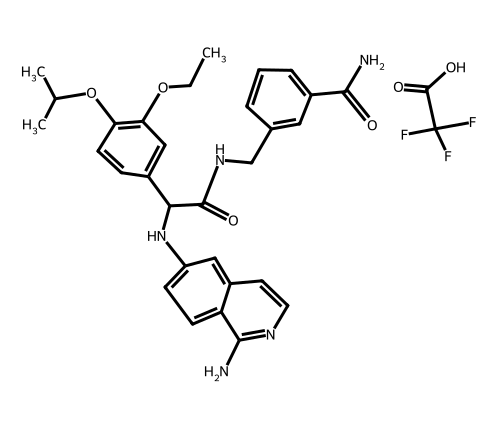 CCOc1cc(C(Nc2ccc3c(N)nccc3c2)C(=O)NCc2cccc(C(N)=O)c2)ccc1OC(C)C.O=C(O)C(F)(F)F